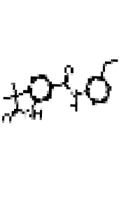 CCc1cccc(NC(=O)c2ccc3c(c2)NC(=O)C3(C)C)c1